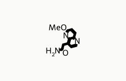 COc1ccc2nccc(CC(N)=O)c2n1